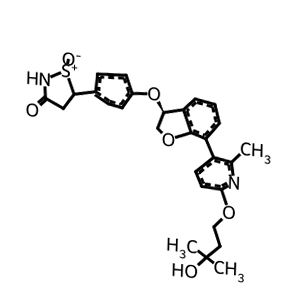 Cc1nc(OCCC(C)(C)O)ccc1-c1cccc2c1OC[C@H]2Oc1ccc(C2CC(=O)N[S+]2[O-])cc1